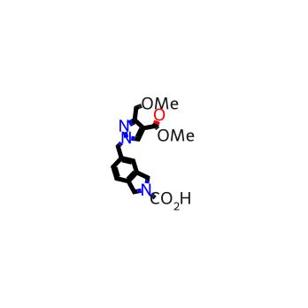 COCc1nn(Cc2ccc3c(c2)CN(C(=O)O)C3)cc1C(=O)OC